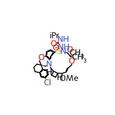 CO[C@H]1/C=C/COC(C)(C)C(=O)N=S(=O)(NC(=O)NC(C)C)c2ccc3c(c2)N(C[C@@H]2CC[C@H]21)C[C@@]1(CCCc2cc(Cl)ccc21)CO3